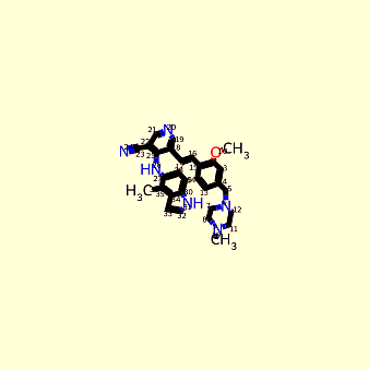 COc1cc(CN2CCN(C)CC2)ccc1C=Cc1cncc(C#N)c1Nc1ccc2[nH]ccc2c1C